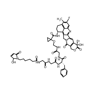 CC[C@@]1(O)C(=O)OCc2c1cc1n(c2=O)Cc2c-1nc1cc(F)c(C)c3c1c2[C@@H](NC(=O)C1(OCNC(=O)CNC(=O)[C@H](Cc2ccccc2)NC(=O)CNC(=O)CNC(=O)CCCCCN2C(=O)C=CC2O)CC1)CC3